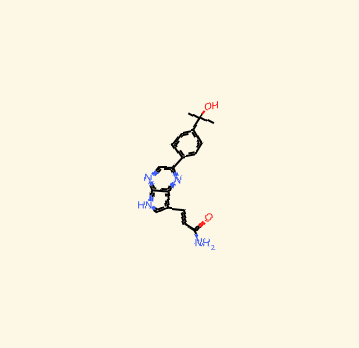 CC(C)(O)c1ccc(-c2cnc3[nH]cc(C=CC(N)=O)c3n2)cc1